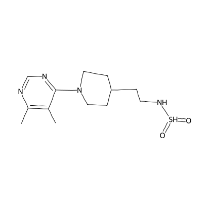 Cc1ncnc(N2CCC(CCN[SH](=O)=O)CC2)c1C